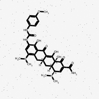 COc1ccc(NC(=O)Nc2cc(N(C)C)c3c(c2O)C(=O)C2=C(O)[C@]4(O)C(=O)C(C(N)=O)=C[C@@H](N(C)C)[C@@H]4C[C@@H]2C3)cc1